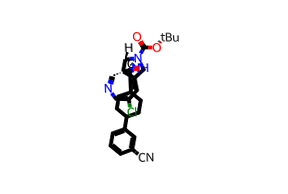 CC(C)(C)OC(=O)N1CC2=CC(Cl)=CN=C[C@]23C(C2CCC(c4cccc(C#N)c4)CC2)=NNC[C@@H]13